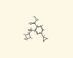 COC(=O)c1ncc(C2CC2)cc1NC1COC1